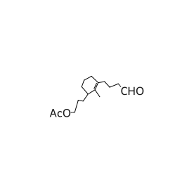 CC(=O)OCCCC1CCCC(CCCC=O)=C1C